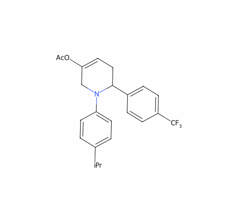 CC(=O)OC1=CCC(c2ccc(C(F)(F)F)cc2)N(c2ccc(C(C)C)cc2)C1